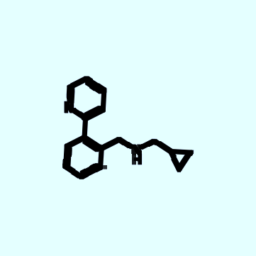 [c]1cccc(-c2ccccn2)c1CNCC1CC1